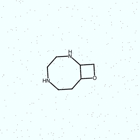 C1CNC2COC2CCN1